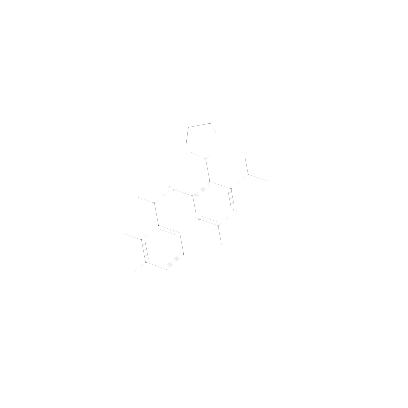 Cc1nc(NC(C)c2cccc(C(F)(F)F)c2F)c(C2OCCO2)c(C(F)C(=O)O)n1